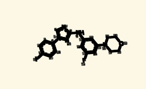 Fc1ccc(-n2cnc(Nc3cc(F)cc(N4CCOCC4)c3)n2)cc1